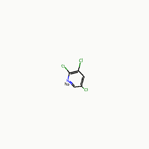 Clc1cnc(Cl)c(Cl)c1.[Na]